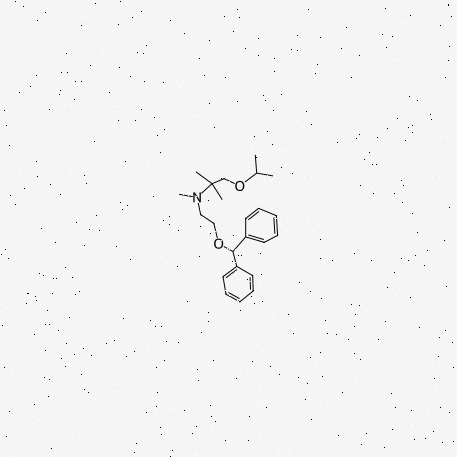 CC(C)OCC(C)(C)N(C)CCOC(c1ccccc1)c1ccccc1